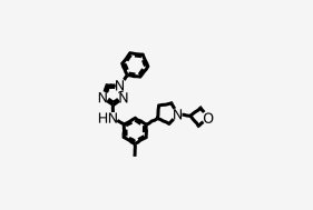 Cc1cc(Nc2ncn(-c3ccccc3)n2)cc(C2CCN(C3COC3)C2)c1